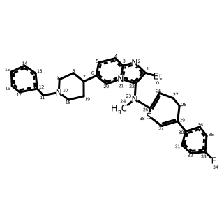 CCc1nc2ccc(C3CCN(Cc4ccccc4)CC3)cn2c1N(C)C1=CCCC(c2ccc(F)cc2)=CS1